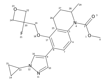 COC(=O)N1c2ccc(-c3cnn(C4CC4)c3)c(OCC3(F)COC3)c2CCC1C